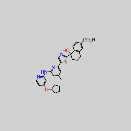 Cc1cc(Nc2cc(OC3CCCC3)ccn2)nc(-c2cnc([C@@]3(O)CCCc4cc(C(=O)O)ccc43)s2)c1